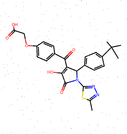 Cc1nnc(N2C(=O)C(O)=C(C(=O)c3ccc(OCC(=O)O)cc3)C2c2ccc(C(C)(C)C)cc2)s1